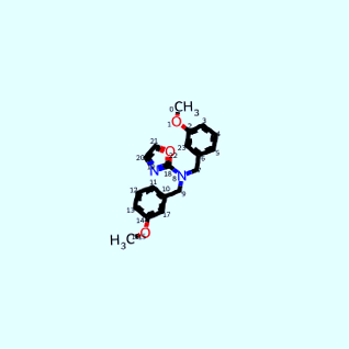 COc1cccc(CN(Cc2cccc(OC)c2)c2ncco2)c1